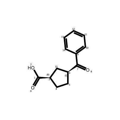 O=C(O)[C@@H]1CC[C@H](C(=O)c2ccccc2)C1